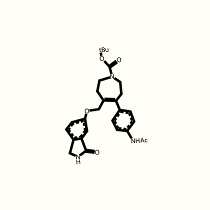 CC(=O)Nc1ccc(C2=C(COc3ccc4c(c3)C(=O)NC4)CCN(C(=O)OC(C)(C)C)CC2)cc1